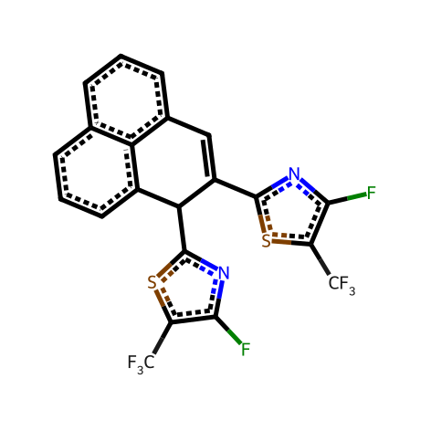 Fc1nc(C2=Cc3cccc4cccc(c34)C2c2nc(F)c(C(F)(F)F)s2)sc1C(F)(F)F